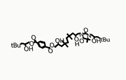 CC(C)(C)CC(O)COC(=O)c1ccc(C(=O)OCC(O)CC(C)(C)CCC(C)(C)CC(O)CN2C(=O)N(CC(O)CC(C)(C)C)C(C)(C)C2=O)cc1